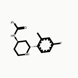 Cc1cc(F)ccc1[C@H]1C[C@H](NC(=O)C(C)C)CCN1